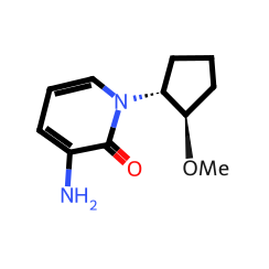 CO[C@@H]1CCC[C@H]1n1cccc(N)c1=O